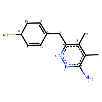 Cc1c(N)nnc(CC2=CCC(F)C=C2)c1C